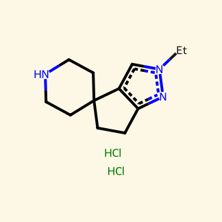 CCn1cc2c(n1)CCC21CCNCC1.Cl.Cl